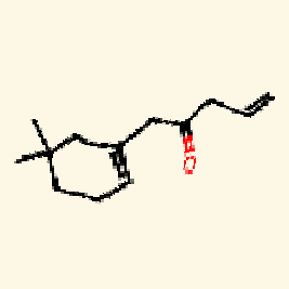 C=CCC(=O)CC1=CCCC(C)(C)C1